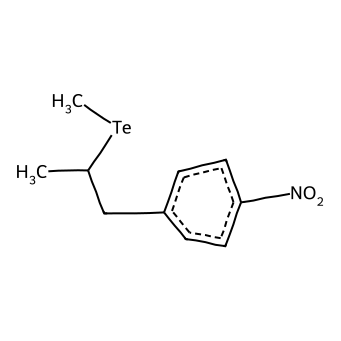 C[Te]C(C)Cc1ccc([N+](=O)[O-])cc1